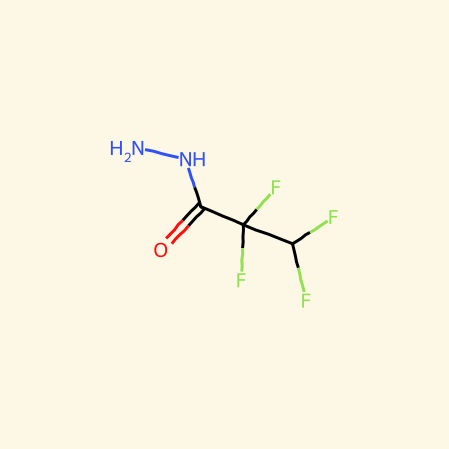 NNC(=O)C(F)(F)C(F)F